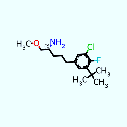 COC[C@H](N)CCCc1cc(Cl)c(F)c(C(C)(C)C)c1